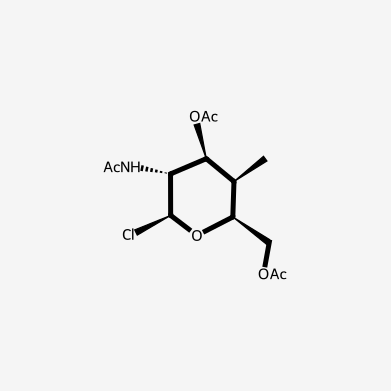 CC(=O)N[C@@H]1[C@@H](OC(C)=O)[C@@H](C)[C@@H](COC(C)=O)O[C@H]1Cl